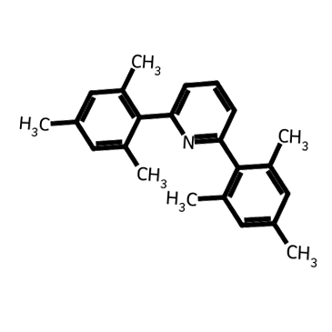 Cc1cc(C)c(-c2cccc(-c3c(C)cc(C)cc3C)n2)c(C)c1